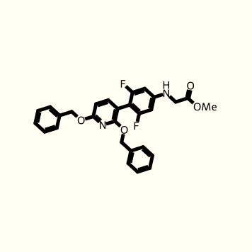 COC(=O)CNc1cc(F)c(-c2ccc(OCc3ccccc3)nc2OCc2ccccc2)c(F)c1